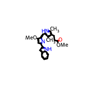 COC(=O)CCc1c(C)[nH]c(C=C2N=C(c3cc4ccccc4[nH]3)C=C2OC)c1C